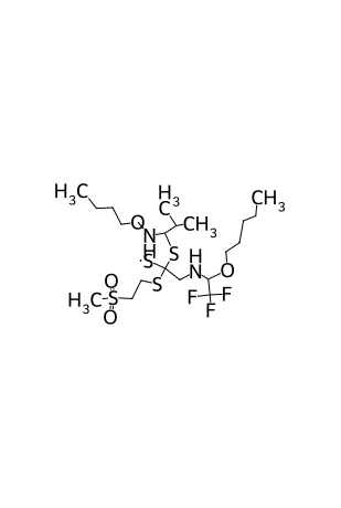 CCCCCOC(NCC([S])(SCCS(C)(=O)=O)SC(NOCCCC)C(C)C)C(F)(F)F